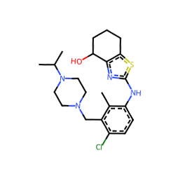 Cc1c(Nc2nc3c(s2)CCCC3O)ccc(Cl)c1CN1CCN(C(C)C)CC1